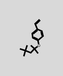 C=Cc1ccc(OC(C)(C)CC(C)(C)C)cc1